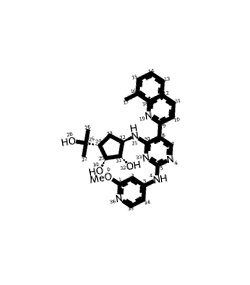 COc1cc(Nc2ncc(-c3ccc4cccc(C)c4n3)c(N[C@@H]3C[C@@H](C(C)(C)O)[C@@H](O)[C@H]3O)n2)ccn1